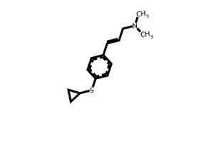 CN(C)CC=Cc1ccc(SC2CC2)cc1